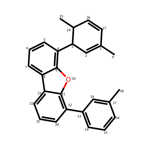 CC1=CC(c2cccc3c2oc2c(-c4cccc(C)c4)cccc23)C(C)C=C1